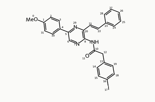 COc1ccc(-c2cnc(NC(=O)Cc3ccc(I)cc3)c(/C=C/c3ccccc3)n2)cc1